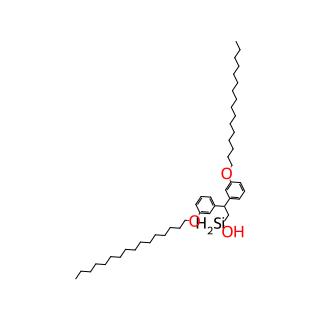 CCCCCCCCCCCCCCCCOc1cccc(C(C[SiH2]O)c2cccc(OCCCCCCCCCCCCCCCC)c2)c1